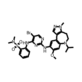 COc1cc2c(cc1Nc1ncc(Br)c(Nc3ccccc3S(=O)(=O)N(C)C)n1)-c1cnn(C)c1CCN2C(C)C